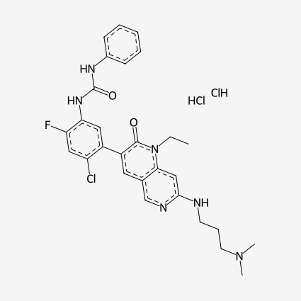 CCn1c(=O)c(-c2cc(NC(=O)Nc3ccccc3)c(F)cc2Cl)cc2cnc(NCCCN(C)C)cc21.Cl.Cl